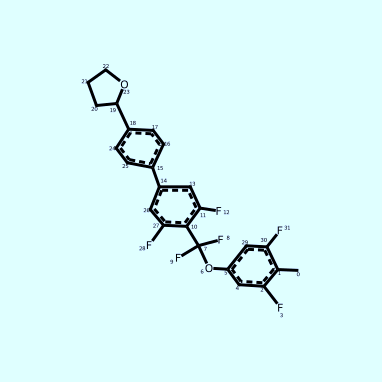 Cc1c(F)cc(OC(F)(F)c2c(F)cc(-c3ccc(C4CCCO4)cc3)cc2F)cc1F